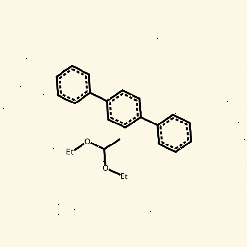 CCOC(C)OCC.c1ccc(-c2ccc(-c3ccccc3)cc2)cc1